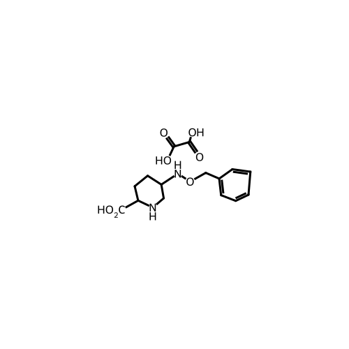 O=C(O)C(=O)O.O=C(O)C1CCC(NOCc2ccccc2)CN1